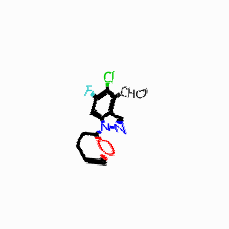 O=Cc1c(Cl)c(F)cc2c1cnn2C1CCCCO1